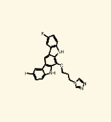 Fc1ccc2[nH]c3c(OCCCn4cnnc4)c4[nH]c5ccc(F)cc5c4cc3c2c1